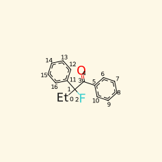 CCC(F)(C(=O)c1ccccc1)c1ccccc1